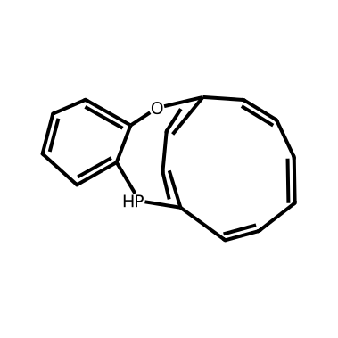 c1cccc2ccc(cc1)oc1ccccc1[pH]2